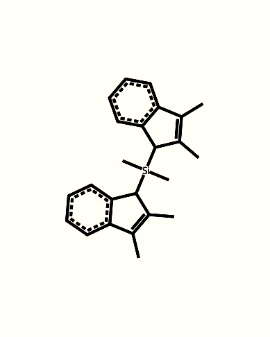 CC1=C(C)C([Si](C)(C)C2C(C)=C(C)c3ccccc32)c2ccccc21